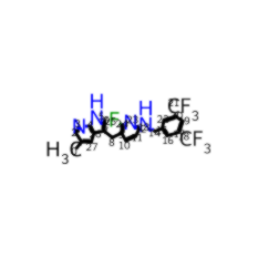 Cc1cnc2[nH]cc(Cc3ccc(NCc4cc(C(F)(F)F)cc(C(F)(F)F)c4)nc3F)c2c1